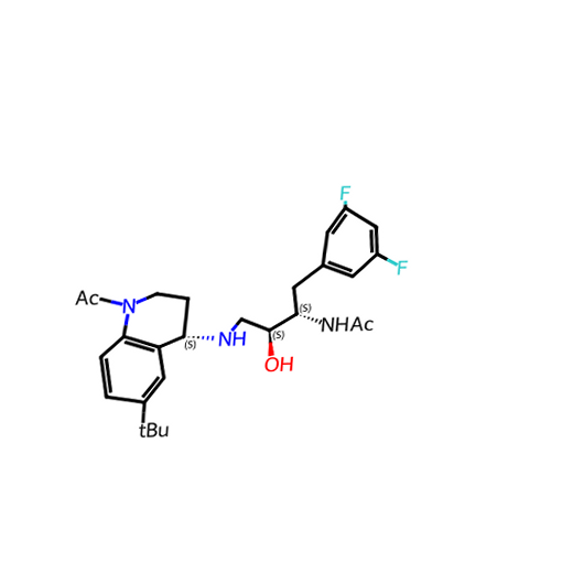 CC(=O)N[C@@H](Cc1cc(F)cc(F)c1)[C@@H](O)CN[C@H]1CCN(C(C)=O)c2ccc(C(C)(C)C)cc21